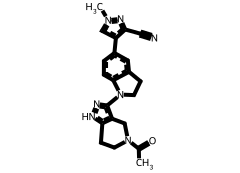 CC(=O)N1CCc2[nH]nc(N3CCc4cc(-c5cn(C)nc5C#N)ccc43)c2C1